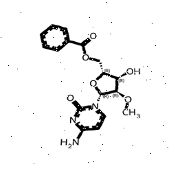 CO[C@@H]1[C@H](O)[C@@H](COC(=O)c2ccccc2)O[C@H]1n1ccc(N)nc1=O